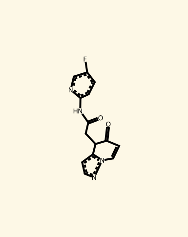 O=C(CC1C(=O)C=Cn2nccc21)Nc1ccc(F)cn1